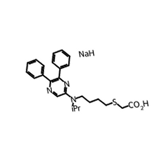 CC(C)N(CCCCSCC(=O)O)c1cnc(-c2ccccc2)c(-c2ccccc2)n1.[NaH]